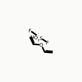 C=COC=C.O=S(=O)(O)F.[C]F